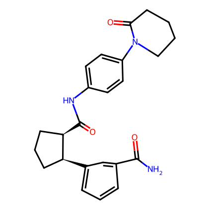 NC(=O)c1cccc([C@H]2CCC[C@H]2C(=O)Nc2ccc(N3CCCCC3=O)cc2)c1